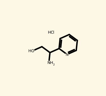 Cl.NC(CO)c1ccccn1